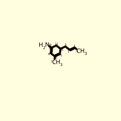 CC=CCC1C=C(C)C=C(N)C1